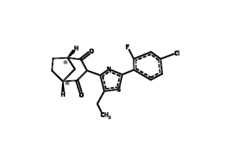 CCc1sc(-c2ccc(Cl)cc2F)nc1C1C(=O)[C@@H]2CC[C@@H](C2)C1=O